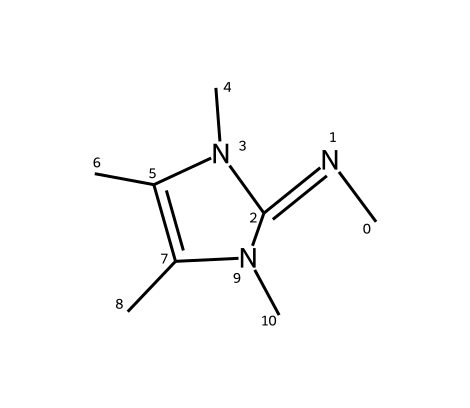 CN=c1n(C)c(C)c(C)n1C